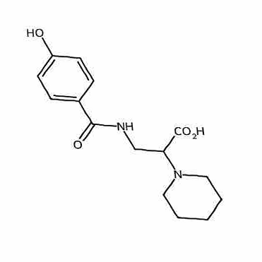 O=C(NCC(C(=O)O)N1CCCCC1)c1ccc(O)cc1